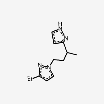 CCc1ccn(CCC(C)c2cc[nH]n2)n1